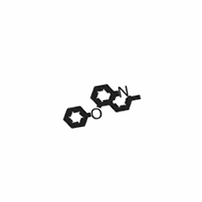 Cc1ccc2c(Oc3ccccc3)cccc2n1